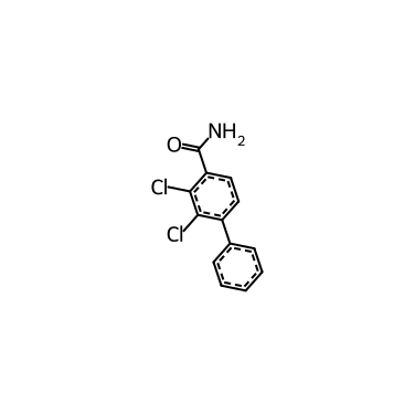 NC(=O)c1ccc(-c2ccccc2)c(Cl)c1Cl